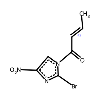 C/C=C/C(=O)n1cc([N+](=O)[O-])nc1Br